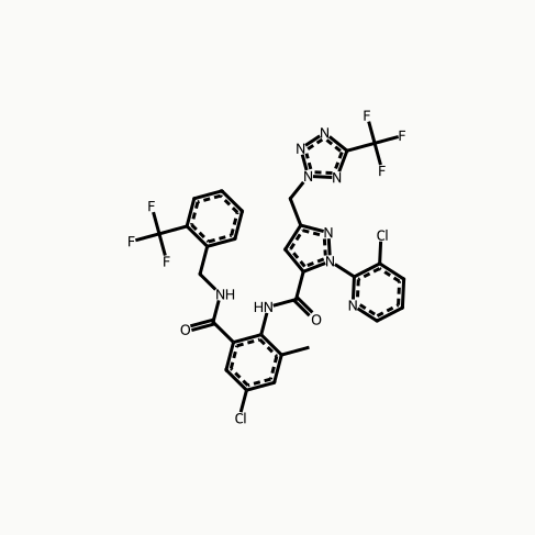 Cc1cc(Cl)cc(C(=O)NCc2ccccc2C(F)(F)F)c1NC(=O)c1cc(Cn2nnc(C(F)(F)F)n2)nn1-c1ncccc1Cl